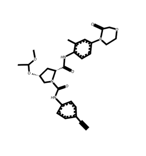 C#Cc1ccc(NC(=O)N2C[C@H](OC(C)OC)C[C@@H]2C(=O)Nc2ccc(N3CCOCC3=O)cc2C)cc1